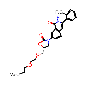 COCCOCCOC[C@H]1CN(c2ccc3cc(-c4ccccc4C(F)(F)F)[nH]c(=O)c3c2)C(=O)O1